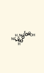 N#CC1CC1C(=O)Nc1cccc(-c2ccc(O[C@H]3CCN(C(=O)CO)C[C@H]3F)c(CN)c2)c1